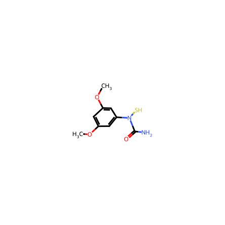 COc1cc(OC)cc(N(S)C(N)=O)c1